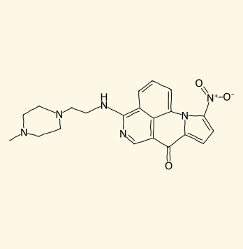 CN1CCN(CCNc2ncc3c(=O)c4ccc([N+](=O)[O-])n4c4cccc2c34)CC1